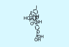 C[C@@H](O)[C@@H](C(=O)Nc1ccc(I)cc1F)N1C(=O)N[C@H](c2ccc(OC[C@@H](O)CO)cc2)C1=O